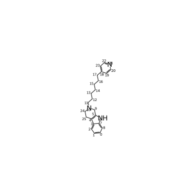 c1ccc2c3c([nH]c2c1)CN(CCCCCCCc1ccncc1)CC3